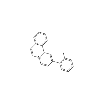 Cc1ccccc1C1=CC2c3ccccc3C=CN2C=C1